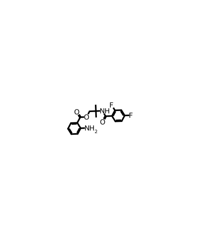 CC(C)(COC(=O)c1ccccc1N)NC(=O)c1ccc(F)cc1F